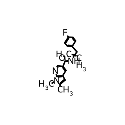 Cc1cc2cc(C(=O)NC(C)(C)Cc3ccc(F)cc3)cnc2n1C